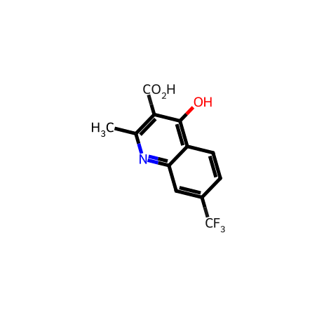 Cc1nc2cc(C(F)(F)F)ccc2c(O)c1C(=O)O